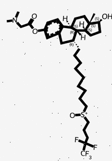 CN(C)CC(=O)Oc1ccc2c(c1)C[C@@H](CCCCCCCCC[S+]([O-])CCCC(F)(F)C(F)(F)F)[C@@H]1[C@@H]2CC[C@]2(C)[C@@H](O)CC[C@@H]12